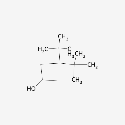 CC(C)(C)C1(C(C)(C)C)CC(O)C1